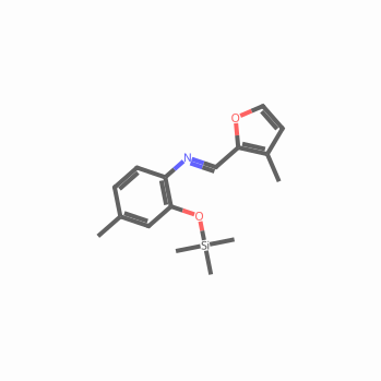 Cc1ccc(/N=C/c2occc2C)c(O[Si](C)(C)C)c1